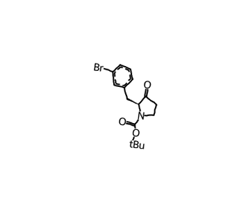 CC(C)(C)OC(=O)N1CCC(=O)[C@@H]1Cc1cccc(Br)c1